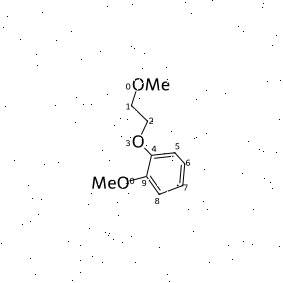 COCCOc1cc[c]cc1OC